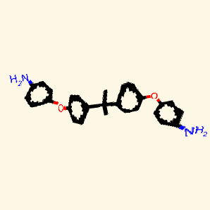 CC(C)(c1c#cc(Oc2ccc(N)cc2)cc1)c1ccc(Oc2ccc(N)cc2)cc1